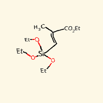 CCOC(=O)C(C)=C[Si](OCC)(OCC)OCC